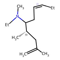 C=C(C)C[C@H](C)C(C/C=C\CC)N(C)CC